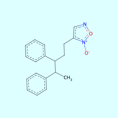 CC(c1ccccc1)C(CCc1cno[n+]1[O-])c1ccccc1